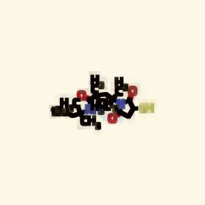 CC(C)(C)CC(C)(C)NC(=O)C(C)(C)CC(C)(C)N1C(=O)CC(S)C1=O